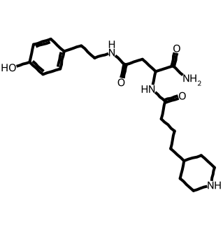 NC(=O)C(CC(=O)NCCc1ccc(O)cc1)NC(=O)CCCC1CCNCC1